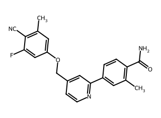 Cc1cc(-c2cc(COc3cc(C)c(C#N)c(F)c3)ccn2)ccc1C(N)=O